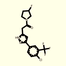 O=C(Cc1cc(-c2ccc(Cl)c(C(F)(F)F)c2)n[nH]1)N1CCC(F)C1